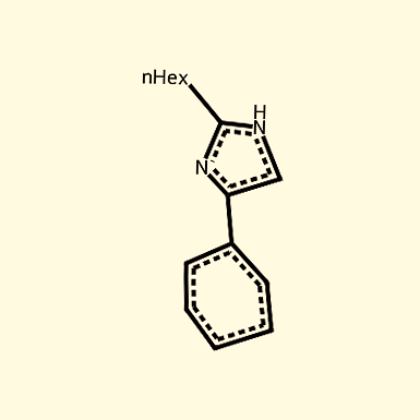 CCCCCCc1nc(-c2ccccc2)c[nH]1